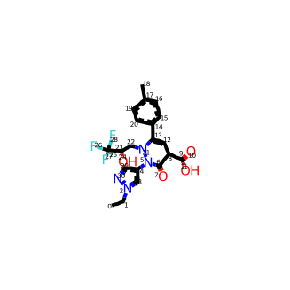 CCn1cc(N2C(=O)C(C(=O)O)C=C(c3ccc(C)cc3)N2CC(O)C(F)(F)F)cn1